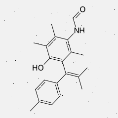 CC(C)=C(c1ccc(C)cc1)c1c(C)c(NC=O)c(C)c(C)c1O